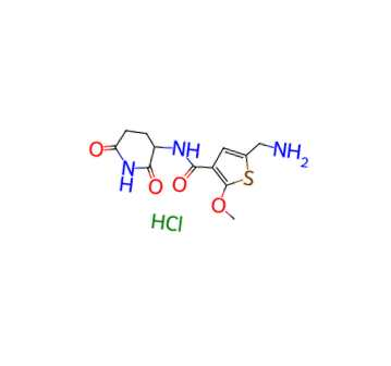 COc1sc(CN)cc1C(=O)NC1CCC(=O)NC1=O.Cl